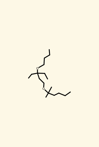 CCCCOC(CC)(CC)CCOC(C)(C)CCCC